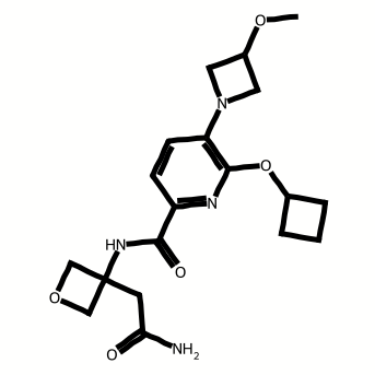 COC1CN(c2ccc(C(=O)NC3(CC(N)=O)COC3)nc2OC2CCC2)C1